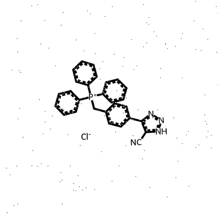 N#Cc1[nH]nnc1-c1ccc(C[P+](c2ccccc2)(c2ccccc2)c2ccccc2)cc1.[Cl-]